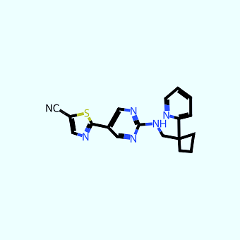 N#Cc1cnc(-c2cnc(NCC3(c4ccccn4)CCC3)nc2)s1